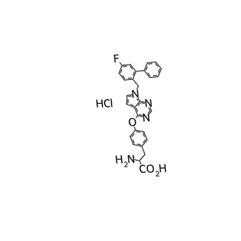 Cl.NC(Cc1ccc(Oc2ncnc3c2ccn3Cc2ccc(F)cc2-c2ccccc2)cc1)C(=O)O